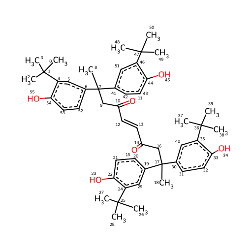 CC(C)(C)c1cc(C(C)(CC(=O)C=CC(=O)CC(C)(c2ccc(O)c(C(C)(C)C)c2)c2ccc(O)c(C(C)(C)C)c2)c2ccc(O)c(C(C)(C)C)c2)ccc1O